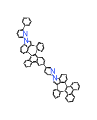 c1ccc(-c2cccc(-n3cc4c5c(cccc53)-c3c(c5ccc(-c6ccc(-n7cc8c9c(cccc97)-c7c(c9ccccc9c9ccccc79)-c7ccccc7-8)nc6)cc5c5ccccc35)-c3ccccc3-4)n2)cc1